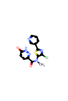 CN(C(=O)c1ccc(=O)[nH]n1)c1sc(-c2cccnc2)nc1Cl